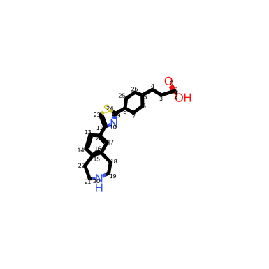 O=C(O)CCC1CCC(c2nc(-c3ccc4c(c3)CCNCC4)cs2)CC1